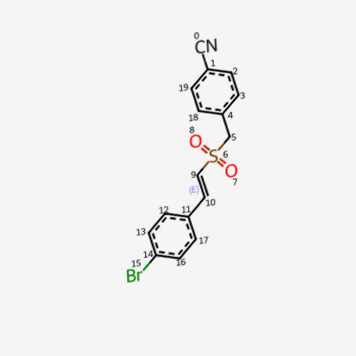 N#Cc1ccc(CS(=O)(=O)/C=C/c2ccc(Br)cc2)cc1